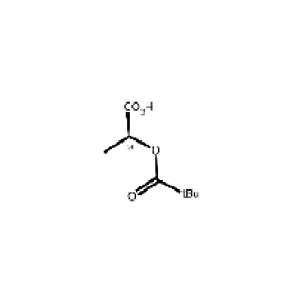 C[C@H](OC(=O)C(C)(C)C)C(=O)O